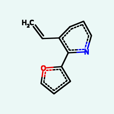 C=Cc1cccnc1-c1ccco1